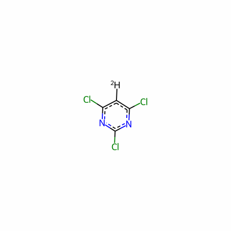 [2H]c1c(Cl)nc(Cl)nc1Cl